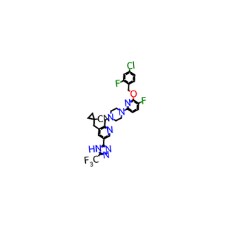 N#CC1(Cc2cc(-c3nnc(C(F)(F)F)[nH]3)cnc2CN2CCN(c3ccc(F)c(OCc4ccc(Cl)cc4F)n3)CC2)CC1